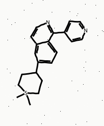 CS1(C)CCC(c2ccc3c(-c4ccncc4)nccc3c2)CC1